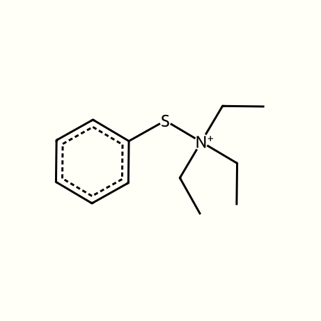 CC[N+](CC)(CC)Sc1ccccc1